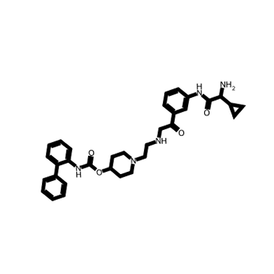 NC(C(=O)Nc1cccc(C(=O)CNCCN2CCC(OC(=O)Nc3ccccc3-c3ccccc3)CC2)c1)C1CC1